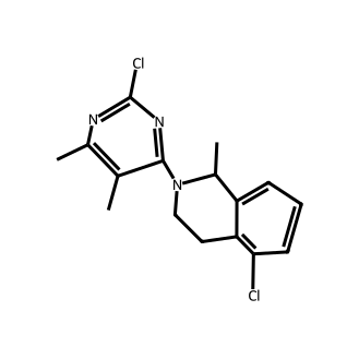 Cc1nc(Cl)nc(N2CCc3c(Cl)cccc3C2C)c1C